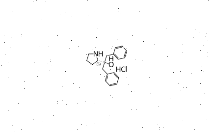 Cl.OC(Cc1ccccc1)(Cc1ccccc1)[C@@H]1CCCN1